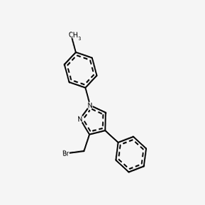 Cc1ccc(-n2cc(-c3ccccc3)c(CBr)n2)cc1